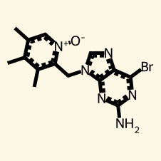 Cc1c[n+]([O-])c(Cn2cnc3c(Br)nc(N)nc32)c(C)c1C